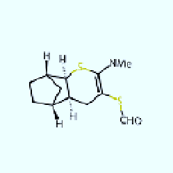 CNC1=C(SC=O)C[C@H]2[C@@H]3CC[C@@H](C3)[C@H]2S1